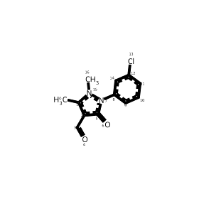 Cc1c(C=O)c(=O)n(-c2cccc(Cl)c2)n1C